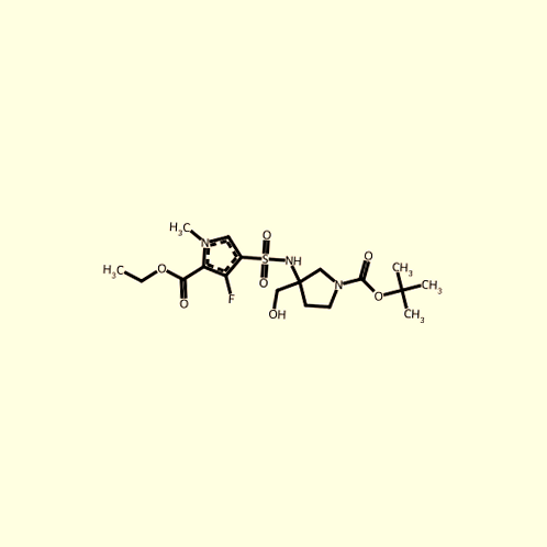 CCOC(=O)c1c(F)c(S(=O)(=O)NC2(CO)CCN(C(=O)OC(C)(C)C)C2)cn1C